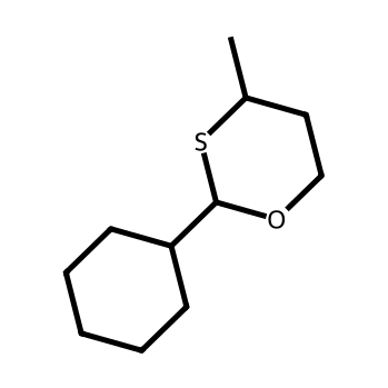 CC1CCOC(C2CCCCC2)S1